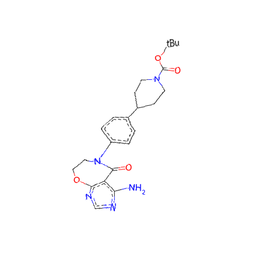 CC(C)(C)OC(=O)N1CCC(c2ccc(N3CCOc4ncnc(N)c4C3=O)cc2)CC1